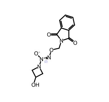 O=C1c2ccccc2C(=O)N1CO/N=[N+](\[O-])N1CC(O)C1